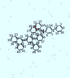 c1ccc(-c2ccc(N(c3ccccc3)c3cccc(-c4c(-c5ccccc5)cc(-c5cc6ccccc6c6ccccc56)cc4-c4ccccc4)c3)cc2)cc1